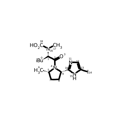 CC[C@H](C)[C@@H](C(=O)N1[C@@H](C)CC[C@H]1c1ncc(I)[nH]1)N(C)C(=O)O